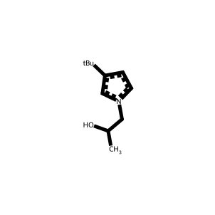 CC(O)Cn1ccc(C(C)(C)C)c1